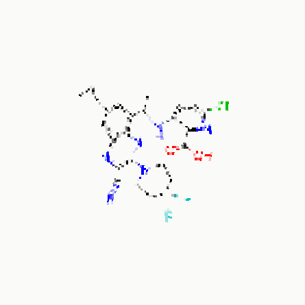 CC(Nc1ccc(Cl)nc1C(=O)O)c1cc(C2CC2)cc2nc(C#N)c(N3CCC(F)(F)CC3)nc12